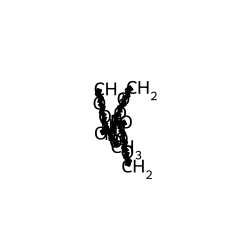 C=CCOCCOCN1C(=O)N(COCCOCC=C)C2C1N(COC)C(=O)N2COCCOCC=C